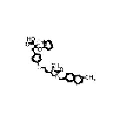 Cc1ccc2cc(CN3CC(CCOc4ccc(CC(C)(Oc5ccccc5)C(=O)O)cc4)N(C)C3=O)ccc2c1